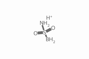 BS(N)(=O)=O.[H+]